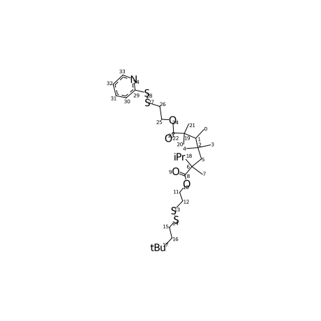 CC(C(C)(C)CC(C)(C(=O)OCCSSCCC(C)(C)C)C(C)C)C(C)(C)C(=O)OCCSSc1ccccn1